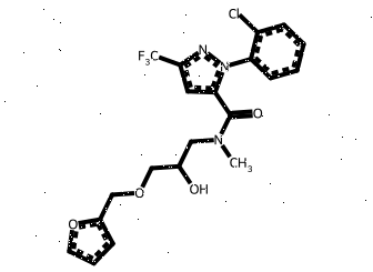 CN(CC(O)COCc1ccco1)C(=O)c1cc(C(F)(F)F)nn1-c1ccccc1Cl